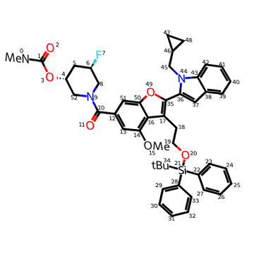 CNC(=O)O[C@@H]1C[C@@H](F)CN(C(=O)c2cc(OC)c3c(CCO[Si](c4ccccc4)(c4ccccc4)C(C)(C)C)c(-c4cc5ccccc5n4CC4CC4)oc3c2)C1